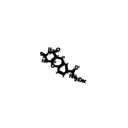 CCCCCCCCCCNC(=O)c1ccc2c(c1)Cc1c([nH]c(=S)[nH]c1=O)O2